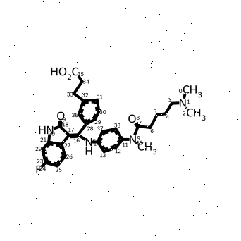 CN(C)CCCCC(=O)N(C)c1ccc(NC(=C2C(=O)Nc3cc(F)ccc32)c2cccc(CCC(=O)O)c2)cc1